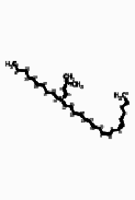 CCCCC/C=C\C/C=C\CCCCCCCCN(CCCCCCCCCC)CCN(C)C